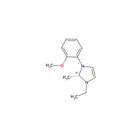 CCN1C=CN(c2ccccc2OC)[C@H]1C